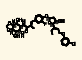 CCC(=CCOc1cccc(Cl)c1)[C@H]1O[C@@H](Oc2ccc(C=C(C)C(=O)N[C@@H]3[C@H](O)[C@@H](O)[C@H]4OCO[C@H]4[C@@H]3O)cc2F)C[C@@H]1O